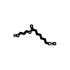 O=CCCCCCCC(=O)OCCCO